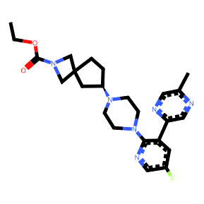 CCOC(=O)N1CC2(CC[C@@H](N3CCN(c4ncc(F)cc4-c4cnc(C)cn4)CC3)C2)C1